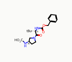 CC(C)(C)[C@H](NC(=O)OCc1ccccc1)C(=O)N1CC[C@@H](NC(=O)O)C1